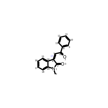 CN1C(=O)/C(=C\C(=O)c2ccccc2)c2ccccc21